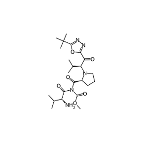 COC(=O)N(C(=O)[C@@H](N)C(C)C)C(=O)[C@@H]1CCCN1[C@H](C(=O)c1nnc(C(C)(C)C)o1)C(C)C